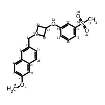 COc1ccc2cc(CN3CC(Oc4[c]ccc(S(C)(=O)=O)c4)C3)ccc2c1